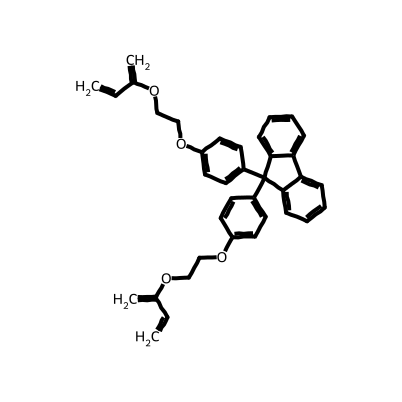 C=CC(=C)OCCOc1ccc(C2(c3ccc(OCCOC(=C)C=C)cc3)c3ccccc3-c3ccccc32)cc1